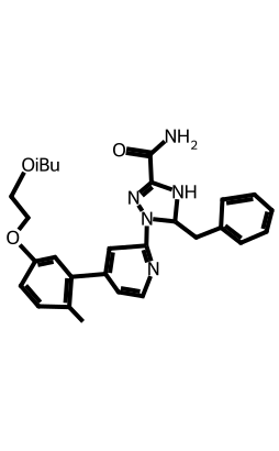 Cc1ccc(OCCOCC(C)C)cc1-c1ccnc(N2N=C(C(N)=O)NC2Cc2ccccc2)c1